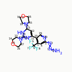 NN=Nc1cc(C(F)(F)F)c(C2=CC(N3CCOCC3)NC(N3CCOCC3)N2)cn1